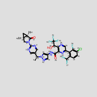 C[C@@H](c1cnc(N2C[C@H]3C[C@H]3C2=O)nc1)n1cc(NC(=O)c2nc(-c3c(C(F)F)ccc(Cl)c3F)cnc2C(O)C(F)(F)F)cn1